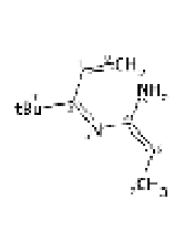 C=C/C(=N\C(N)=C/C)C(C)(C)C